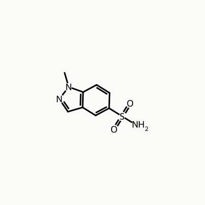 Cn1ncc2cc(S(N)(=O)=O)ccc21